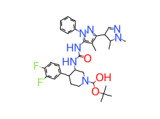 Cc1c(C2C=NN(C)C2C)nn(-c2ccccc2)c1NC(=O)NC1CN(C(O)OC(C)(C)C)CCC1c1ccc(F)c(F)c1